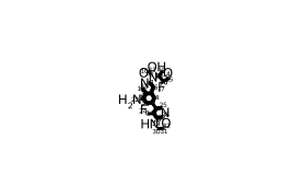 Cc1c(-c2cc3cc(N(C(=O)O)[C@@H]4COC[C@@H]4F)ncc3c(N)c2F)cnc2c1NCCO2